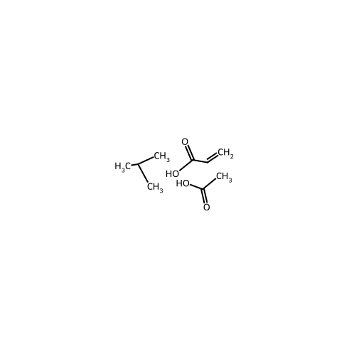 C=CC(=O)O.CC(=O)O.CC(C)C